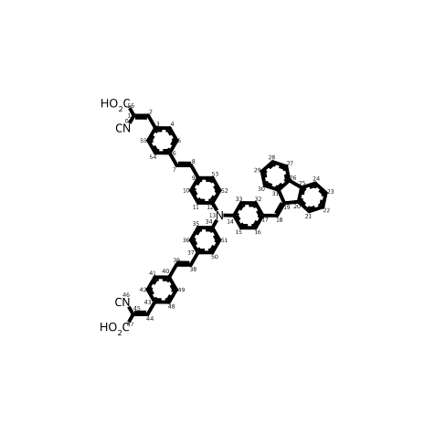 [C-]#[N+]/C(=C\c1ccc(/C=C/c2ccc(N(c3ccc(C=C4c5ccccc5-c5ccccc54)cc3)c3ccc(/C=C/c4ccc(/C=C(\[N+]#[C-])C(=O)O)cc4)cc3)cc2)cc1)C(=O)O